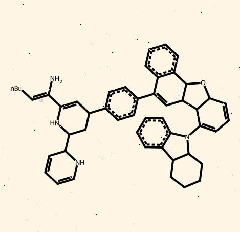 CCCC/C=C(\N)C1=CC(c2ccc(C3=CC4C(OC5C=CC=C(N6c7ccccc7C7CCCCC76)C54)c4ccccc43)cc2)CC(C2C=CC=CN2)N1